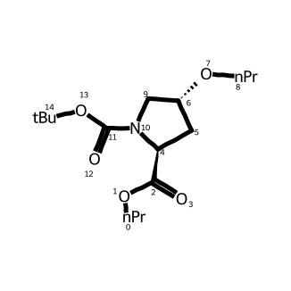 CCCOC(=O)[C@@H]1C[C@@H](OCCC)CN1C(=O)OC(C)(C)C